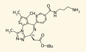 Cc1sc2c(c1C)C(c1ccc(C(=O)NCCCN)cc1)=N[C@@H](CC(=O)OC(C)(C)C)c1nnc(C)n1-2